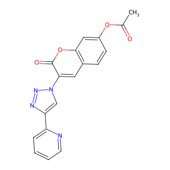 CC(=O)Oc1ccc2cc(-n3cc(-c4ccccn4)nn3)c(=O)oc2c1